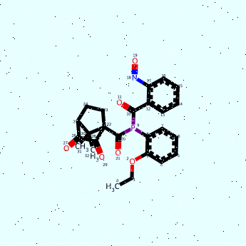 CCOc1ccccc1P(C(=O)c1ccccc1N=O)C(=O)C12CCC(C(=O)C1=O)C2(C)C